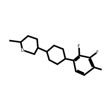 Cc1ccc(C2CCC(C3CCC(C)OC3)CC2)c(F)c1F